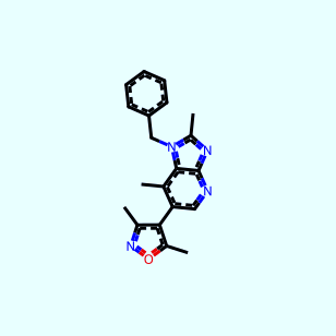 Cc1noc(C)c1-c1cnc2nc(C)n(Cc3ccccc3)c2c1C